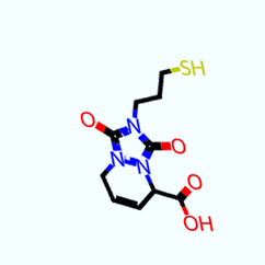 O=C(O)C1C=CCn2c(=O)n(CCCS)c(=O)n21